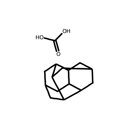 C1C2CC3C4CC5CC(C14)C(C2)C3C5.O=C(O)O